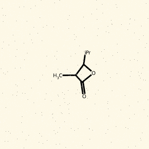 CC(C)C1OC(=O)C1C